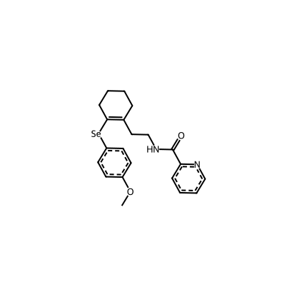 COc1ccc([Se]C2=C(CCNC(=O)c3ccccn3)CCCC2)cc1